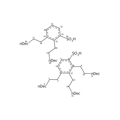 CCCCCCCCCCCCc1ccc(S(=O)(=O)O)c(CCCCCCCCCCCC)c1CCCCCCCCCCCC.CCCCCCCCCCCCc1cccc(S(=O)(=O)O)c1CCCCCCCCCCCC